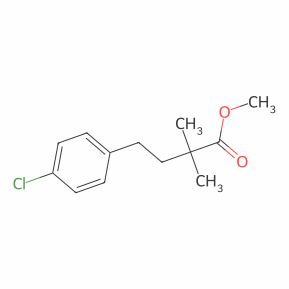 COC(=O)C(C)(C)CCc1ccc(Cl)cc1